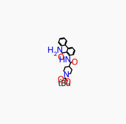 CC(C)(C)OC(=O)N1CCC(C(=O)Nc2cccc(-c3ccccc3)c2C(N)=O)CC1